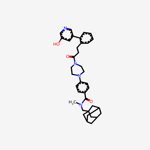 CN(CC12CC3CC(CC(C3)C1)C2)C(=O)c1ccc(N2CCN(C(=O)CCc3ccccc3-c3cncc(O)c3)CC2)cc1